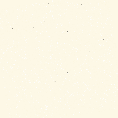 Cc1cc(CN(CC(=O)N(Cc2ccc3occc3c2)CC(C)C)S(=O)(=O)c2ccc3occc3c2)n(C)n1